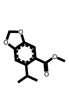 COC(=O)c1cc2c(cc1C(C)C)OCO2